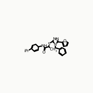 CC(C)C1=CCC(NC(=O)C(C)Sc2nnc(-c3ccco3)n2Cc2ccccc2)C=C1